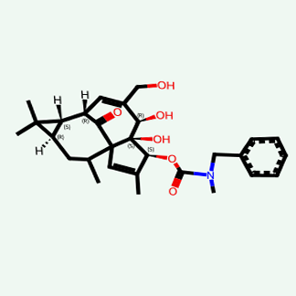 CC1=CC23C(=O)[C@@H](C=C(CO)[C@@H](O)[C@]2(O)[C@H]1OC(=O)N(C)Cc1ccccc1)[C@@H]1[C@@H](CC3C)C1(C)C